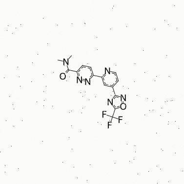 CN(C)C(=O)c1ccc(-c2cc(-c3noc(C(F)(F)F)n3)ccn2)nn1